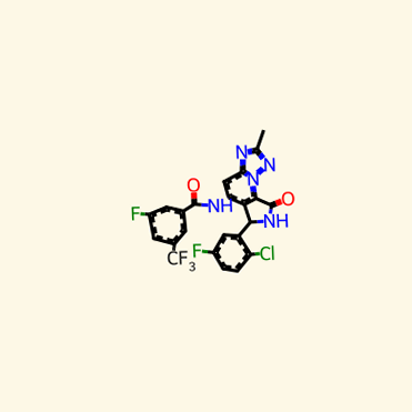 Cc1nc2cc(NC(=O)c3cc(F)cc(C(F)(F)F)c3)c3c(n2n1)C(=O)NC3c1cc(F)ccc1Cl